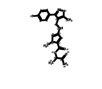 Cc1onc(-c2ccc(F)cc2)c1CNc1cc(C(=O)OC(C)C(N)=O)n(C)n1